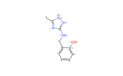 Cc1nc(NCc2ccccc2O)n[nH]1